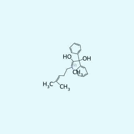 CC(C)=CCC/C(C)=C(\O)C(O)(c1ccccc1)c1ccccc1